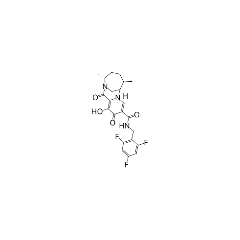 C[C@@H]1CC[C@@H](C)N2C[C@@H]1n1cc(C(=O)NCc3c(F)cc(F)cc3F)c(=O)c(O)c1C2=O